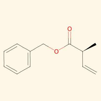 C=C[C@H](C)C(=O)OCc1ccccc1